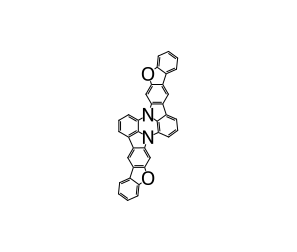 c1ccc2c(c1)oc1cc3c(cc12)c1cccc2c1n3c1cccc3c4cc5c(cc4n2c31)oc1ccccc15